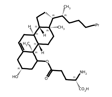 CC(C)CCC[C@@H](C)[C@H]1CC[C@H]2[C@@H]3CC=C4C[C@@H](O)CC(OC(=O)CC[C@H](N)C(=O)O)[C@]4(C)[C@H]3CC[C@]12C